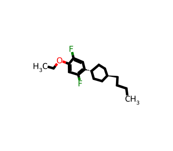 CCCC[C@H]1CC[C@H](c2cc(F)c(OCC)cc2F)CC1